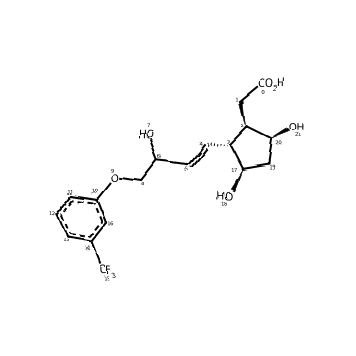 O=C(O)C[C@@H]1[C@@H](C=CC(O)COc2cccc(C(F)(F)F)c2)[C@H](O)C[C@@H]1O